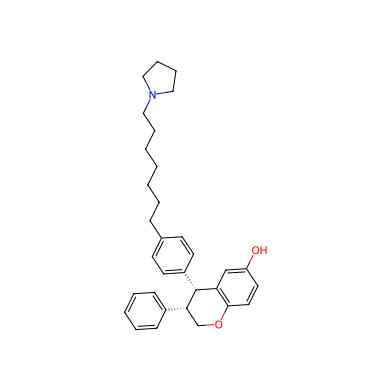 Oc1ccc2c(c1)[C@@H](c1ccc(CCCCCCCN3CCCC3)cc1)[C@@H](c1ccccc1)CO2